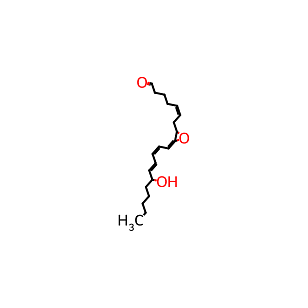 CCCCCC(O)/C=C/C=C\C=C1\OC1C/C=C\CCCC=O